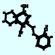 Oc1nc(SCc2ccccc2Cl)c(Br)c2c1CCCC2